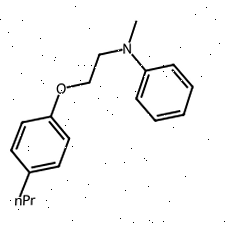 CCCc1ccc(OCCN(C)c2ccccc2)cc1